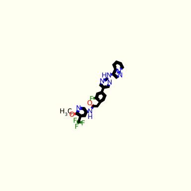 COc1ncc(NC(=O)Cc2ccc(-c3cnc(Nc4cnn5ccccc45)nc3)cc2F)cc1C(F)(F)F